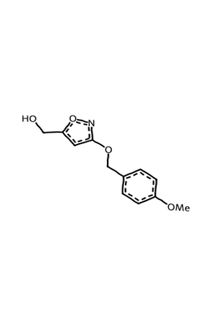 COc1ccc(COc2cc(CO)on2)cc1